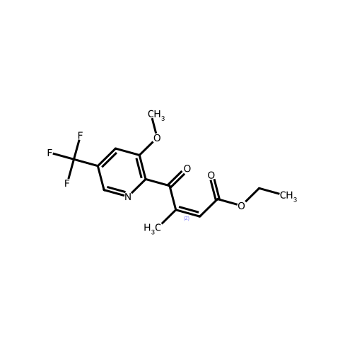 CCOC(=O)/C=C(/C)C(=O)c1ncc(C(F)(F)F)cc1OC